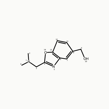 CN(C)Cc1nc2cc(CO)ccc2o1